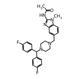 CC(=O)Nc1nc2cc(CN3CCN(C(c4ccc(F)cc4)c4ccc(F)cc4)CC3)ccc2n1C